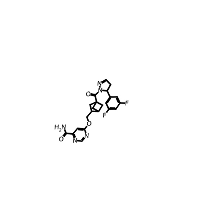 NC(=O)c1cc(OCC2CC3(C(=O)N4N=CCC4c4cc(F)cc(F)c4)CC2C3)ncn1